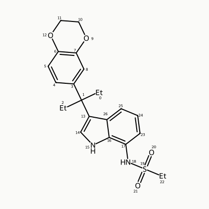 CCC(CC)(c1ccc2c(c1)OCCO2)c1c[nH]c2c(NS(=O)(=O)CC)cccc12